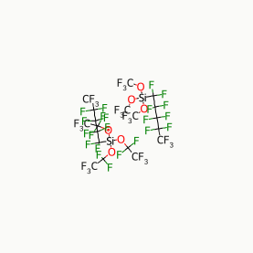 FC(F)(F)C(F)(F)O[Si](OC(F)(F)C(F)(F)F)(OC(F)(F)C(F)(F)F)C(F)(F)C(F)(F)C(F)(F)C(F)(F)C(F)(F)F.FC(F)(F)O[Si](OC(F)(F)F)(OC(F)(F)F)C(F)(F)C(F)(F)C(F)(F)C(F)(F)C(F)(F)F